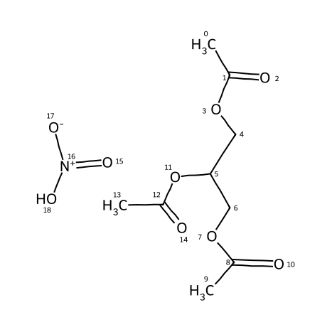 CC(=O)OCC(COC(C)=O)OC(C)=O.O=[N+]([O-])O